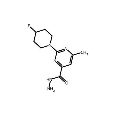 Cc1cc(C(=O)NN)nc(N2CCC(F)CC2)n1